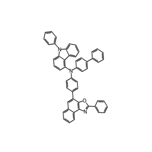 c1ccc(-c2ccc(N(c3ccc(-c4cc5ccccc5c5nc(-c6ccccc6)oc45)cc3)c3cccc4c3c3ccccc3n4-c3ccccc3)cc2)cc1